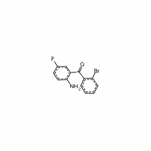 Nc1ccc(F)cc1C(=O)c1ccccc1Br